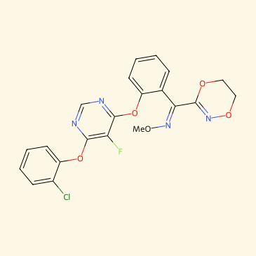 CON=C(C1=NOCCO1)c1ccccc1Oc1ncnc(Oc2ccccc2Cl)c1F